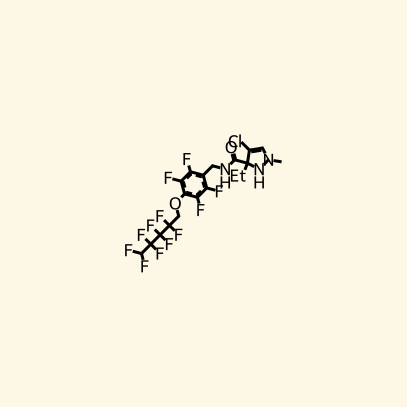 CCC1(C(=O)NCc2c(F)c(F)c(OCC(F)(F)C(F)(F)C(F)(F)C(F)F)c(F)c2F)NN(C)C=C1Cl